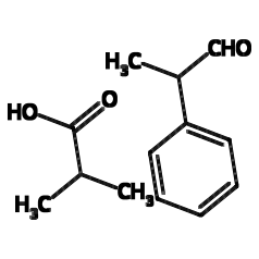 CC(C)C(=O)O.CC(C=O)c1ccccc1